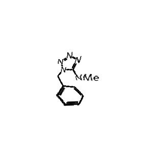 CNc1nnnn1Cc1ccccc1